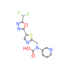 O=C(O)N(Cc1ncc(-c2nnc(C(F)F)o2)s1)c1cccnc1